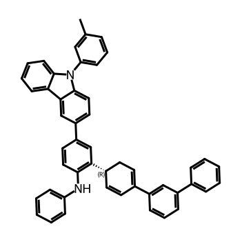 Cc1cccc(-n2c3ccccc3c3cc(-c4ccc(Nc5ccccc5)c([C@H]5C=CC(c6cccc(-c7ccccc7)c6)=CC5)c4)ccc32)c1